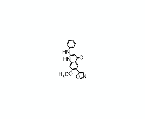 COc1cc2[nH]c(Nc3ccccc3)cc(=O)c2cc1-c1cnco1